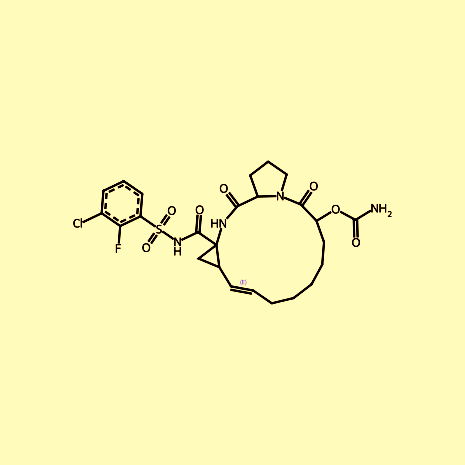 NC(=O)OC1CCCCC/C=C/C2CC2(C(=O)NS(=O)(=O)c2cccc(Cl)c2F)NC(=O)C2CCCN2C1=O